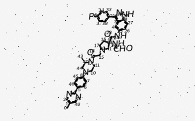 Cc1cnc(-c2ccc(N3CCN(C(=O)CN4CC[C@@](NC=O)(C(=O)Nc5ccc6[nH]nc(-c7ccc(F)cc7)c6c5)C4)[C@H](C)C3)cc2)nc1